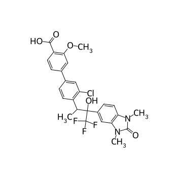 COc1cc(-c2ccc(C(C)C(O)(c3ccc4c(c3)n(C)c(=O)n4C)C(F)(F)F)c(Cl)c2)ccc1C(=O)O